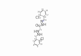 O=C(CNNCc1ccccc1Cl)N/N=C/C1C=CC=CC1Cl